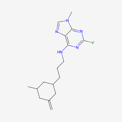 C=C1CC(C)CC(CCCNc2nc(F)nc3c2ncn3C)C1